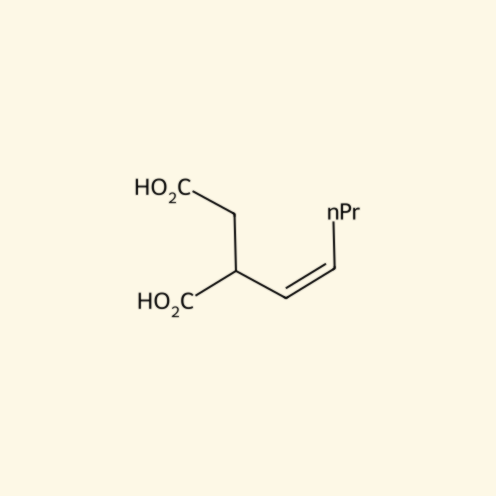 CCC/C=C\C(CC(=O)O)C(=O)O